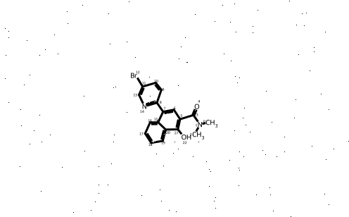 CN(C)C(=O)c1cc(-c2ccc(Br)cn2)c2ccccc2c1O